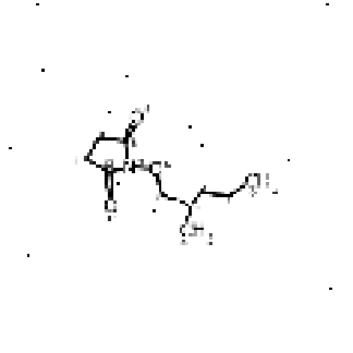 CCCC(C)CON1C(=O)CCC1=O